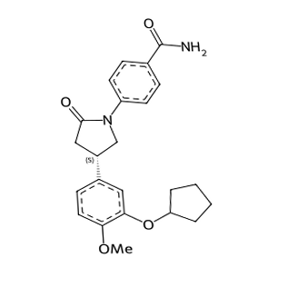 COc1ccc([C@@H]2CC(=O)N(c3ccc(C(N)=O)cc3)C2)cc1OC1CCCC1